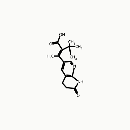 C/C(=C(\C(=O)O)C(C)(C)C)c1cnc2c(c1)CCC(=O)N2